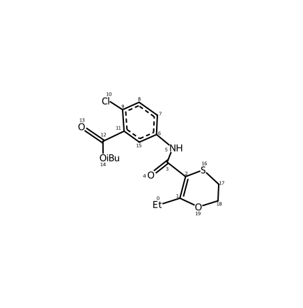 CCC1=C(C(=O)Nc2ccc(Cl)c(C(=O)OCC(C)C)c2)SCCO1